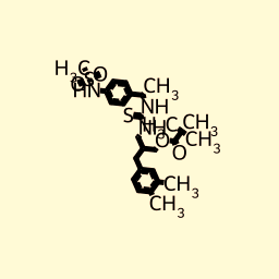 Cc1ccc(CC(CNC(=S)NC(C)c2ccc(NS(C)(=O)=O)cc2)COC(=O)C(C)(C)C)cc1C